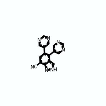 N#Cc1cc(-c2cncnc2)c(-c2cncnc2)c2c[nH]nc12